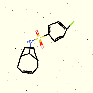 O=S(=O)(NC1C2CC=CCC1CC2)c1ccc(F)cc1